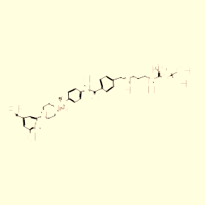 CC(C)(C)OC(=O)NCCCNCc1ccc(C(=O)Nc2ccc(S(=O)(=O)N3CCN(c4cc(C(F)(F)F)cc(Cl)n4)CC3)cc2)cc1